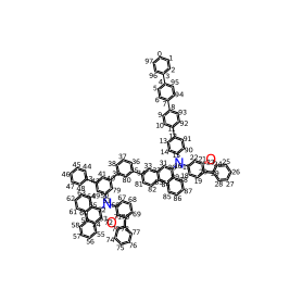 c1ccc(-c2ccc(-c3ccc(-c4ccc(N(c5ccc6c(c5)oc5ccccc56)c5cc6cc(-c7cccc(-c8cc(-c9ccccc9)cc(N(c9cc%10ccccc%10c%10ccccc9%10)c9cccc%10c9oc9ccccc9%10)c8)c7)ccc6c6ccccc56)cc4)cc3)cc2)cc1